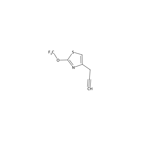 C#CCc1csc(OC(F)(F)F)n1